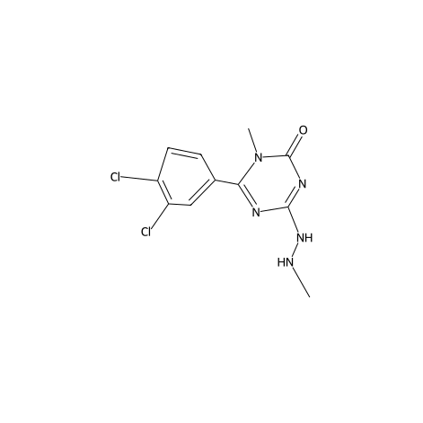 CNNc1nc(-c2ccc(Cl)c(Cl)c2)n(C)c(=O)n1